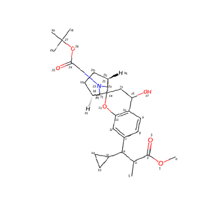 COC(=O)C(C)C(c1ccc2c(c1)OC1(CC2O)[C@@H]2CC[C@H]1CN(C(=O)OC(C)(C)C)C2)C1CC1